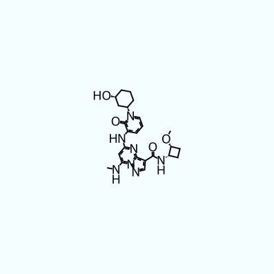 CNc1cc(Nc2cccn([C@@H]3CCC[C@H](O)C3)c2=O)nc2c(C(=O)N[C@H]3CC[C@@H]3OC)cnn12